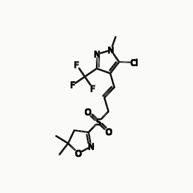 Cn1nc(C(F)(F)F)c(C=CCS(=O)(=O)C2=NOC(C)(C)C2)c1Cl